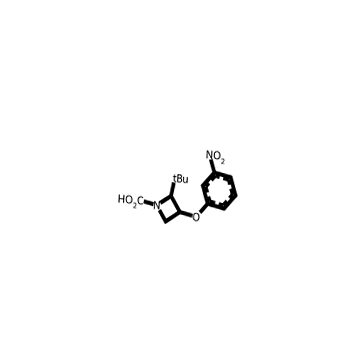 CC(C)(C)C1C(Oc2cccc([N+](=O)[O-])c2)CN1C(=O)O